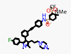 CN[C@@]1(C)CCC([S+]([O-])Nc2ccc(C#Cc3cccc(-c4c(CCCN5CCN(C)CC5)c(C)n(C)c4-c4ccc(F)cc4)c3)cc2)C=C1S(=O)(=O)C(F)(F)F